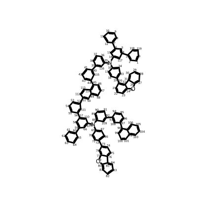 c1ccc(-c2cc(-c3ccccc3)cc(N(c3ccc(-c4cccc5oc6ccccc6c45)cc3)c3cccc(-c4cccc(-c5cccc6cc(-c7cccc(-c8cc(-c9ccccc9)cc(N(c9ccc(-c%10ccc%11c(c%10)oc%10ccccc%10%11)cc9)c9cccc(-c%10cccc(-c%11cccc%12ccccc%11%12)c%10)c9)c8)c7)ccc56)c4)c3)c2)cc1